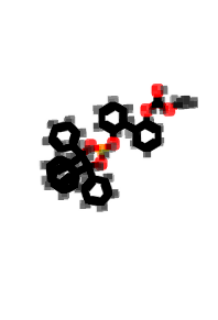 CC(C)(C)OC(=O)Oc1ccccc1-c1ccccc1OP1OC(c2ccccc2)(c2ccccc2)C(c2ccccc2)(c2ccccc2)O1